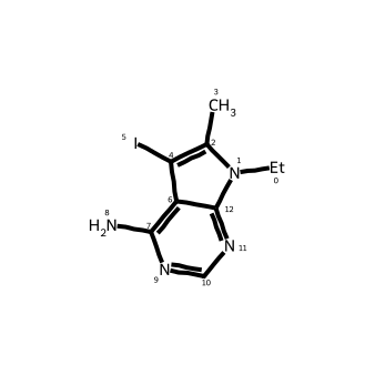 CCn1c(C)c(I)c2c(N)ncnc21